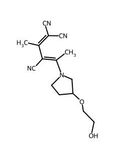 CC(=C(C#N)C#N)/C(C#N)=C(\C)N1CCC(OCCO)C1